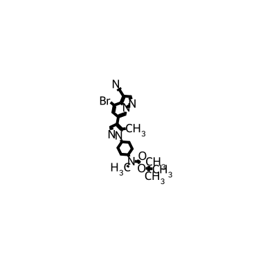 Cc1c(-c2cc(Br)c3c(C#N)cnn3c2)cnn1C1CCC(N(C)C(=O)OC(C)(C)C)CC1